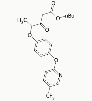 CCCCOC(=O)CC(=O)C(C)Oc1ccc(Oc2ccc(C(F)(F)F)cn2)cc1